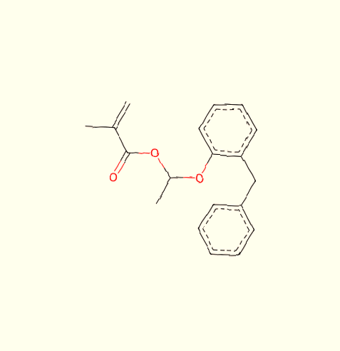 C=C(C)C(=O)OC(C)Oc1ccccc1Cc1ccccc1